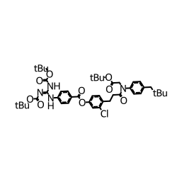 CC(C)(C)Cc1ccc(N(CC(=O)OC(C)(C)C)C(=O)CCc2ccc(OC(=O)c3ccc(N/C(=N\C(=O)OC(C)(C)C)NC(=O)OC(C)(C)C)cc3)cc2Cl)cc1